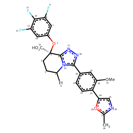 CCC1CC[C@](Oc2cc(F)c(F)c(F)c2)(C(=O)O)c2nnc(-c3ccc(-c4cnc(C)o4)c(OC)c3)n21